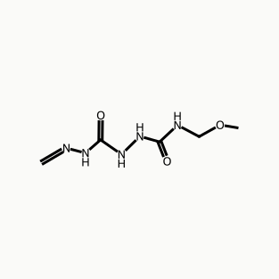 C=NNC(=O)NNC(=O)NCOC